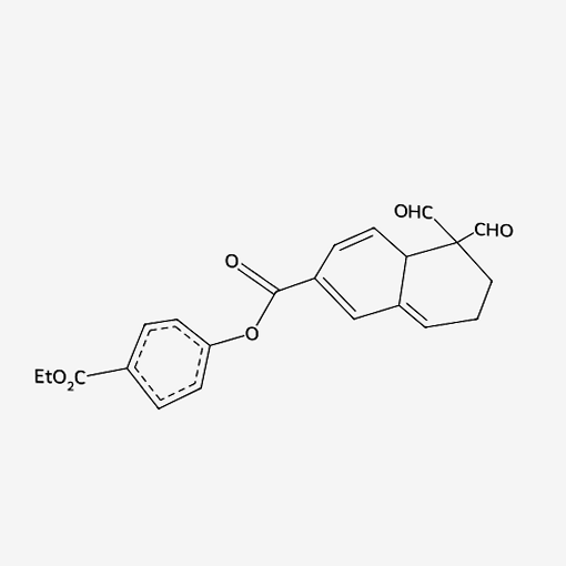 CCOC(=O)c1ccc(OC(=O)C2=CC3=CCCC(C=O)(C=O)C3C=C2)cc1